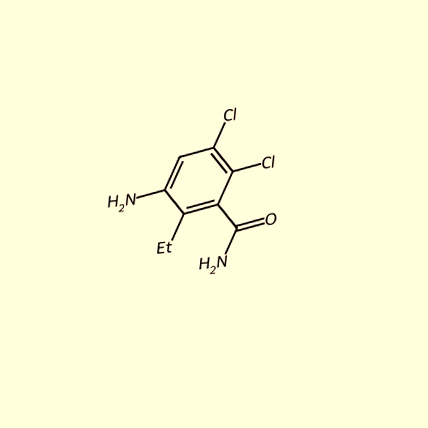 CCc1c(N)cc(Cl)c(Cl)c1C(N)=O